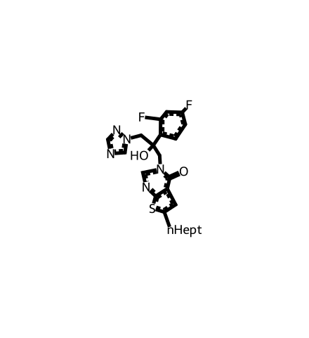 CCCCCCCc1cc2c(=O)n(CC(O)(Cn3cncn3)c3ccc(F)cc3F)cnc2s1